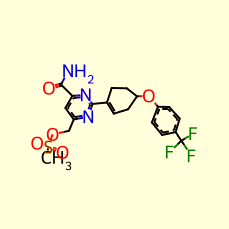 CS(=O)(=O)OCc1cc(C(N)=O)nc(C2=CCC(Oc3ccc(C(F)(F)F)cc3)CC2)n1